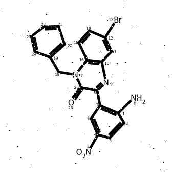 Nc1ccc([N+](=O)[O-])cc1-c1nc2cc(Br)ccc2n(Cc2ccccc2)c1=O